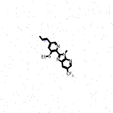 C/C=C/c1cnc(-c2nc3cc(C(F)(F)F)cnc3n2C)c(SCC)c1